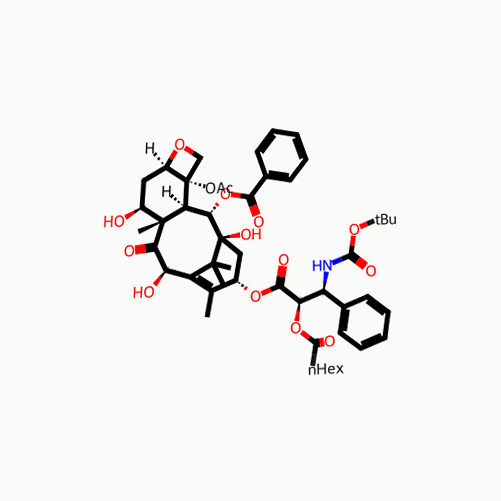 CCCCCCC(=O)O[C@@H](C(=O)O[C@H]1C[C@@]2(O)[C@@H](OC(=O)c3ccccc3)[C@@H]3[C@]4(OC(C)=O)CO[C@@H]4C[C@H](O)[C@@]3(C)C(=O)[C@H](O)C(=C1C)C2(C)C)[C@@H](NC(=O)OC(C)(C)C)c1ccccc1